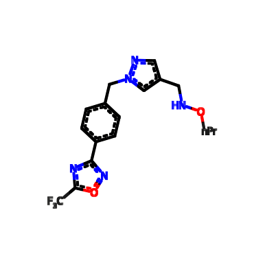 CCCONCc1cnn(Cc2ccc(-c3noc(C(F)(F)F)n3)cc2)c1